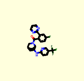 O=C(c1ccc(F)cc1-c1ncccn1)N1CC2CCC1C(Nc1ccc(C(F)(F)F)cn1)C2